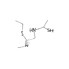 CCS/C(CNC(C)S)=N\C